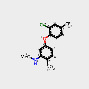 CONc1cc(Oc2ccc(C(F)(F)F)cc2Cl)ccc1[N+](=O)[O-]